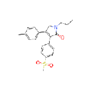 CCCN1CC(c2ccc(C)cc2)=C(c2ccc(S(C)(=O)=O)cc2)C1=O